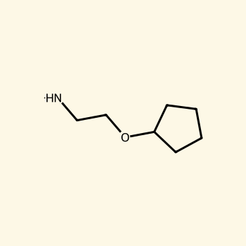 [NH]CCOC1CCCC1